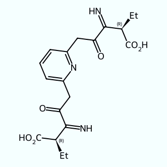 CC[C@H](C(=N)C(=O)Cc1cccc(CC(=O)C(=N)[C@@H](CC)C(=O)O)n1)C(=O)O